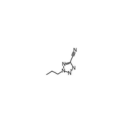 CCCn1nnc(C#N)n1